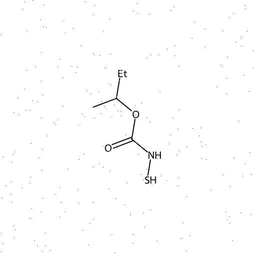 CCC(C)OC(=O)NS